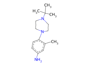 Cc1cc(N)ccc1N1CCN(C(C)(C)C)CC1